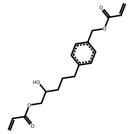 C=CC(=O)OCc1ccc(CCCC(O)COC(=O)C=C)cc1